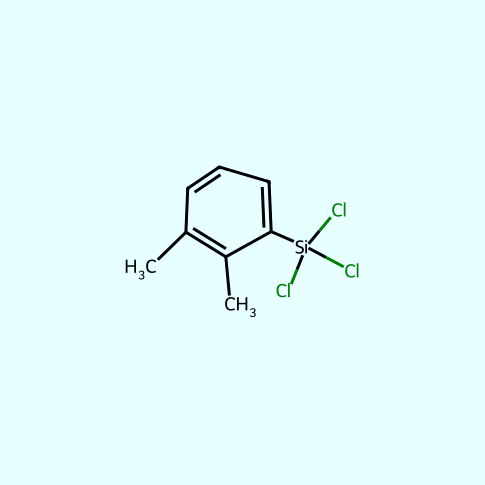 Cc1cccc([Si](Cl)(Cl)Cl)c1C